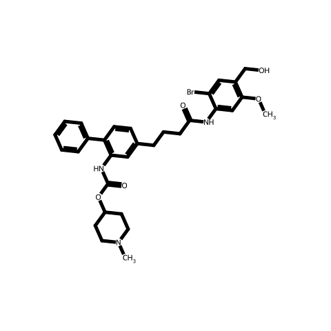 COc1cc(NC(=O)CCCc2ccc(-c3ccccc3)c(NC(=O)OC3CCN(C)CC3)c2)c(Br)cc1CO